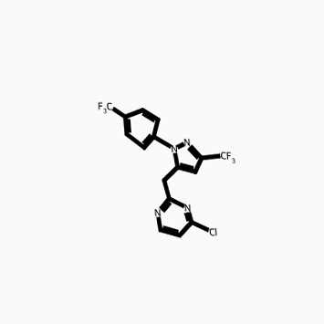 FC(F)(F)c1ccc(-n2nc(C(F)(F)F)cc2Cc2nccc(Cl)n2)cc1